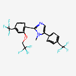 Cn1c(-c2ccc(C(F)(F)F)cc2)cnc1-c1ccc(C(F)(F)F)cc1OCC(F)(F)F